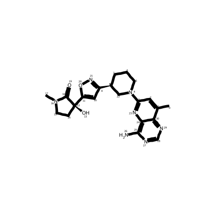 Cc1cc(N2CCC[C@H](c3cc([C@]4(O)CCN(C)C4=O)on3)C2)nc2c(N)ncnc12